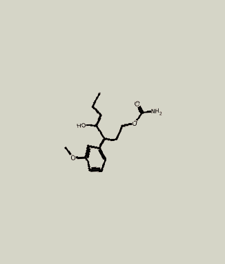 CCCC(O)C(CCOC(N)=O)c1cccc(OC)c1